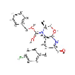 C[C@H]1COc2nc(C=O)c(Cc3ccc(F)cc3)cc2N1C(=O)OCc1ccccc1